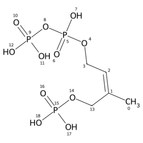 CC(=CCOP(=O)(O)OP(=O)(O)O)COP(=O)(O)O